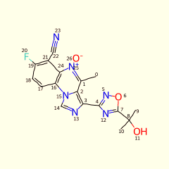 Cc1c2c(-c3noc(C(C)(C)O)n3)ncn2c2ccc(F)c(C#N)c2[n+]1[O-]